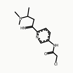 CC(CC(=N)c1ccc(NC(=O)CCl)cn1)N(C)C